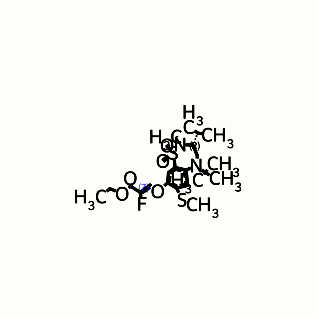 CCOC(=O)/C(F)=C/Oc1cc2c(cc1SC)N(C(C)(C)C)C[C@@H](C(C)C)N(C)S2(=O)=O